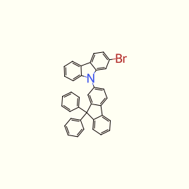 Brc1ccc2c3ccccc3n(-c3ccc4c(c3)C(c3ccccc3)(c3ccccc3)c3ccccc3-4)c2c1